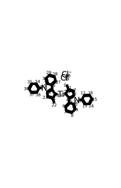 CC1=Cc2c(c3ccccc3n2-c2ccccc2)[CH]1[Ti+2][CH]1C(C)=Cc2c1c1ccccc1n2-c1ccccc1.[Cl-].[Cl-]